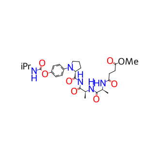 COC(=O)CCC(=O)N[C@@H](C)C(=O)N[C@@H](C)C(=O)NC(=O)[C@@H]1CCCN1c1ccc(OC(=O)NC(C)C)cc1